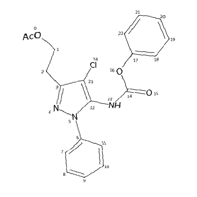 CC(=O)OCCc1nn(-c2ccccc2)c(NC(=O)Oc2ccccc2)c1Cl